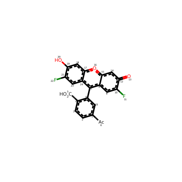 CC(=O)c1ccc(C(=O)O)c(-c2c3cc(F)c(=O)cc-3oc3cc(O)c(F)cc23)c1